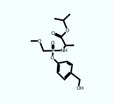 COCP(=O)(NC(C)C(=O)OC(C)C)Oc1ccc(CO)cc1